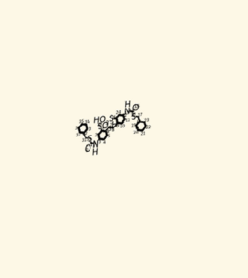 O=C(Nc1ccc(C=Cc2ccc(NC(=O)SCc3ccccc3)cc2S(=O)(=O)O)c(S(=O)(=O)O)c1)SCc1ccccc1